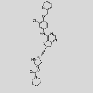 O=C(O[C@H]1CN[C@H](C#Cc2cc3ncnc(Nc4ccc(OCc5ccccn5)c(Cl)c4)c3s2)C1)N1CCCCC1